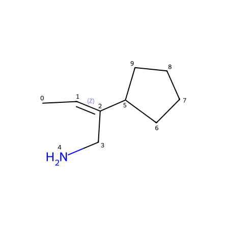 C/C=C(\CN)C1CCCC1